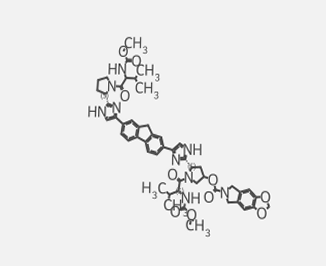 COC(=O)NC(C(=O)N1CCC[C@H]1c1nc(-c2ccc3c(c2)Cc2cc(-c4c[nH]c([C@@H]5CC(OC(=O)N6Cc7cc8c(cc7C6)OCO8)CN5C(=O)[C@@H](NC(=O)OC)C(C)C)n4)ccc2-3)c[nH]1)C(C)C